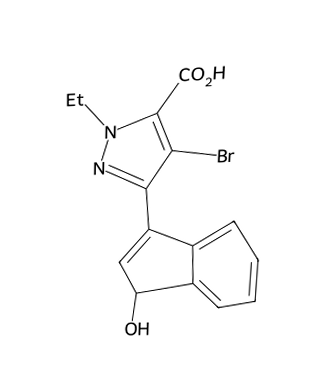 CCn1nc(C2=CC(O)c3ccccc32)c(Br)c1C(=O)O